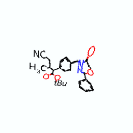 CC(CC#N)C(C(=O)OC(C)(C)C)c1ccc(CN2N=C(c3ccccc3)OCC2=O)cc1